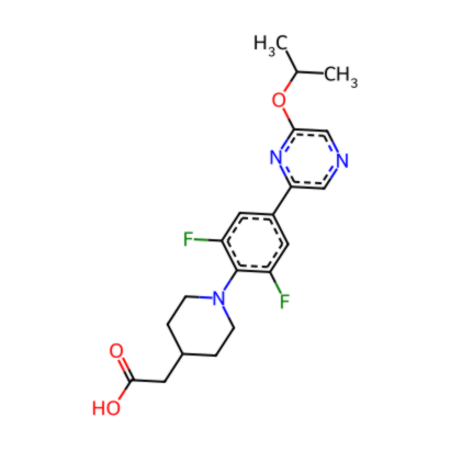 CC(C)Oc1cncc(-c2cc(F)c(N3CCC(CC(=O)O)CC3)c(F)c2)n1